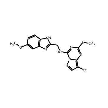 COc1ccc2[nH]c(CNc3nc(SC)nc4c(Br)cnn34)nc2c1